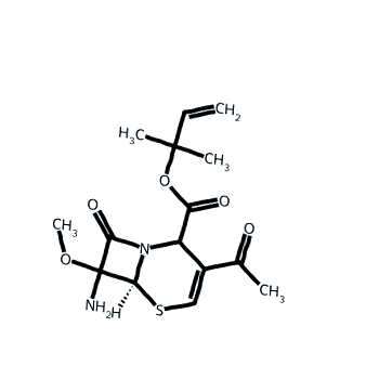 C=CC(C)(C)OC(=O)C1C(C(C)=O)=CS[C@@H]2N1C(=O)C2(N)OC